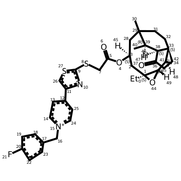 CC[C@]12C[C@@H](OC(=O)CSc3nc(-c4cc[n+](Cc5ccc(F)cc5)cc4)cs3)CC3(C)CC[C@]4(CCC(=O)[C@H]4[C@H]3C)[C@@H](C)[C@@H]1O2